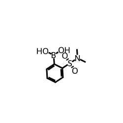 CN(C)S(=O)(=O)c1ccccc1B(O)O